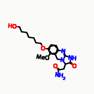 COc1c(OCCCCCCCO)ccc2c1CN1C(=N2)NC(=O)C1CC(N)=O